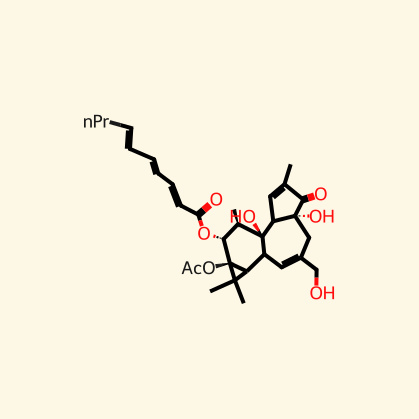 CCC/C=C/C=C/C=C/C(=O)O[C@@H]1[C@@H](C)[C@@]2(O)C(C=C(CO)C[C@]3(O)C(=O)C(C)=CC23)C2C(C)(C)[C@@]21OC(C)=O